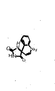 O=C1NC(=O)C2(C=CNc3ccccc32)N1